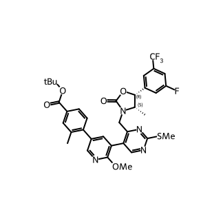 COc1ncc(-c2ccc(C(=O)OC(C)(C)C)cc2C)cc1-c1cnc(SC)nc1CN1C(=O)O[C@H](c2cc(F)cc(C(F)(F)F)c2)[C@@H]1C